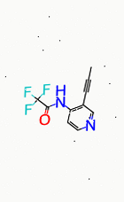 CC#Cc1cnccc1NC(=O)C(F)(F)F